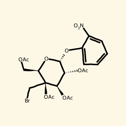 CC(=O)OC[C@H]1O[C@H](Oc2ccccc2[N+](=O)[O-])[C@H](OC(C)=O)[C@@H](OC(C)=O)[C@@]1(CBr)OC(C)=O